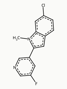 Cn1c(-c2cncc(F)c2)cc2ccc(Cl)cc21